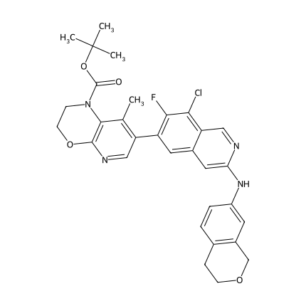 Cc1c(-c2cc3cc(Nc4ccc5c(c4)COCC5)ncc3c(Cl)c2F)cnc2c1N(C(=O)OC(C)(C)C)CCO2